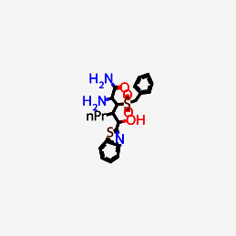 CCCC(C(O)c1nc2ccccc2s1)C(C(N)C(N)=O)S(=O)(=O)Cc1ccccc1